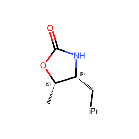 CC(C)C[C@H]1NC(=O)O[C@H]1C